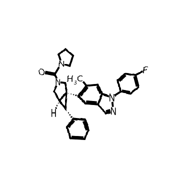 Cc1cc2c(cnn2-c2ccc(F)cc2)cc1[C@@]12CN(C(=O)N3CCCC3)C[C@@H]1[C@H]2c1ccccc1